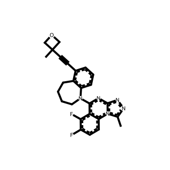 Cc1nnc2nc(N3CCCCc4c(C#CC5(C)COC5)cccc43)c3c(F)c(F)ccc3n12